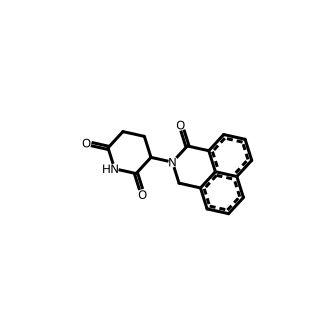 O=C1CCC(N2Cc3cccc4cccc(c34)C2=O)C(=O)N1